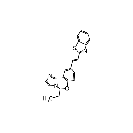 CCC(Oc1ccc(/C=C/c2nc3ccccc3s2)cc1)n1ccnc1